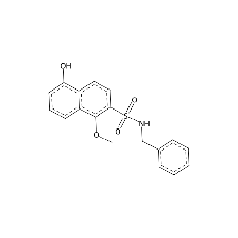 COc1c(S(=O)(=O)NCc2ccccc2)ccc2c(O)cccc12